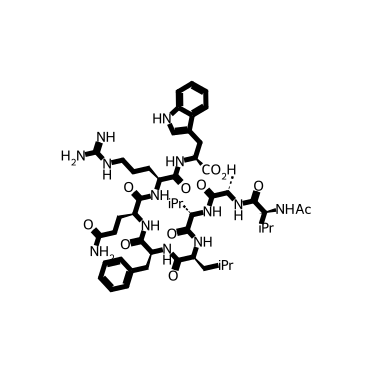 CC(=O)N[C@H](C(=O)N[C@@H](C)C(=O)N[C@H](C(=O)N[C@@H](CC(C)C)C(=O)N[C@@H](Cc1ccccc1)C(=O)N[C@@H](CCC(N)=O)C(=O)N[C@@H](CCCNC(=N)N)C(=O)N[C@@H](Cc1c[nH]c2ccccc12)C(=O)O)C(C)C)C(C)C